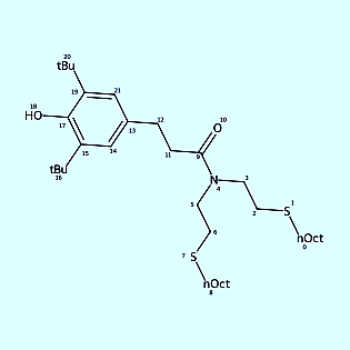 CCCCCCCCSCCN(CCSCCCCCCCC)C(=O)CCc1cc(C(C)(C)C)c(O)c(C(C)(C)C)c1